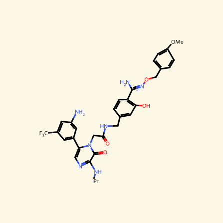 COc1ccc(CO/N=C(\N)c2ccc(CNC(=O)Cn3c(-c4cc(N)cc(C(F)(F)F)c4)cnc(NC(C)C)c3=O)cc2O)cc1